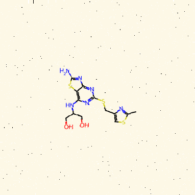 Cc1nc(CSc2nc(NC(CO)CO)c3sc(N)nc3n2)cs1